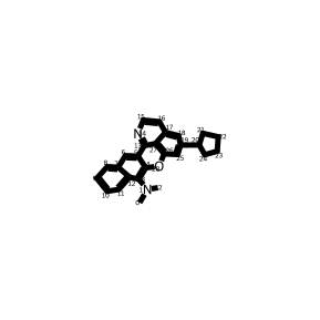 CN(C)c1c2c(cc3ccccc13)-c1nccc3cc(C4CCCC4)cc(c13)O2